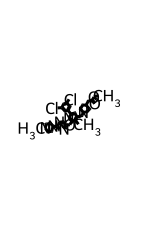 COC(=O)CC1CCN(Cc2cc(-c3cc(Cl)cc(Cl)c3)nc(Oc3cnc(N4CCN(C)CC4)cn3)c2C)CC1